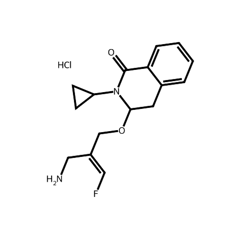 Cl.NCC(=CF)COC1Cc2ccccc2C(=O)N1C1CC1